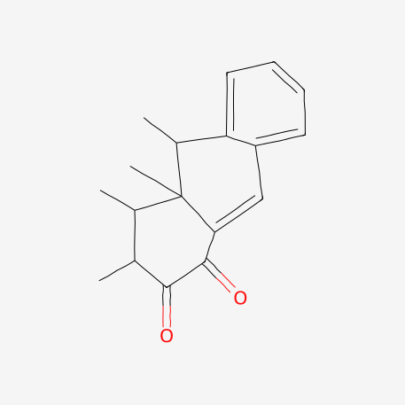 CC1C(=O)C(=O)C2=Cc3ccccc3C(C)C2(C)C1C